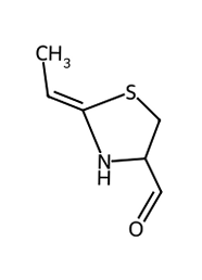 CC=C1NC(C=O)CS1